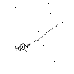 CCCCCCCCCCCCCCCC[n+]1cc[nH]c1C